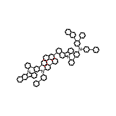 c1ccc(-c2ccc(N(c3ccc(-c4ccccc4-n4c5ccccc5c5c6cccc(-c7ccc8c(-c9cc(N(c%10cccc(-c%11ccccc%11)c%10)c%10ccc(-c%11ccccc%11-n%11c%12ccccc%12c%12cc%13ccccc%13cc%12%11)cc%10-c%10ccccc%10)ccc9-c9ccccc9)cccc8c7)c6ccc54)cc3)c3ccc(-c4ccc5ccccc5c4)c(-c4ccccc4)c3)cc2)cc1